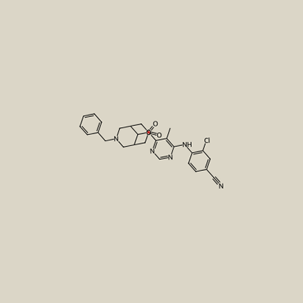 Cc1c(Nc2ccc(C#N)cc2Cl)ncnc1OC1C2CN(Cc3ccccc3)CC1CS(=O)(=O)C2